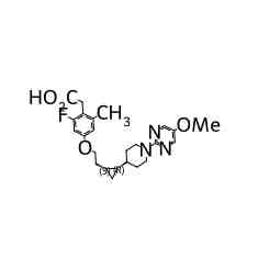 COc1cnc(N2CCC([C@H]3C[C@H]3CCOc3cc(C)c(CC(=O)O)c(F)c3)CC2)nc1